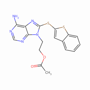 CC(=O)OCCn1c(Sc2cc3ccccc3s2)nc2c(N)ncnc21